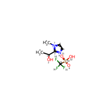 CC(O)c1nccn1C.O=S(=O)(O)C(F)(F)F